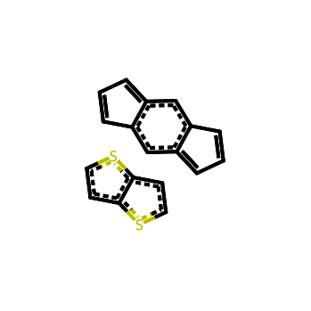 C1=Cc2cc3c(cc2=C1)C=CC=3.c1cc2sccc2s1